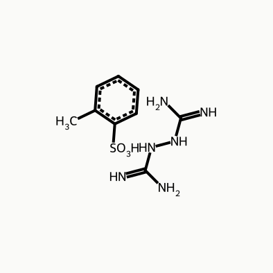 Cc1ccccc1S(=O)(=O)O.N=C(N)NNC(=N)N